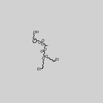 [CH2]C(COC(=O)CCC(OCCCC/C=C\CC)OCCCC/C=C\CC)COC(=O)OCC1CCCN(CCCO)C1